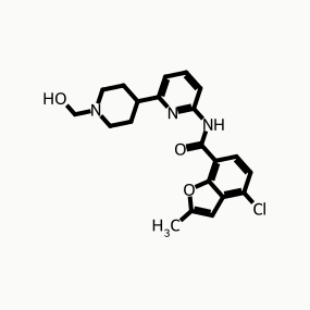 Cc1cc2c(Cl)ccc(C(=O)Nc3cccc(C4CCN(CO)CC4)n3)c2o1